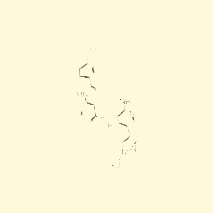 CSc1ccc(C(=O)Nc2cccc([C@@H](C)Oc3cc(-c4cnn(C5CC5)c4)cnc3N)c2)cc1